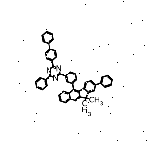 CC1(C)c2cc(-c3ccccc3)ccc2-c2c1cc1ccccc1c2-c1cccc(-c2nc(-c3ccccc3)nc(-c3ccc(-c4ccccc4)cc3)n2)c1